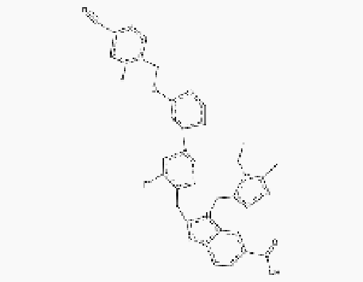 CCn1c(Cn2c(Cc3ccc(-c4cccc(OCc5ccc(C#N)cc5F)n4)cc3F)nc3ccc(C(=O)O)cc32)cnc1C